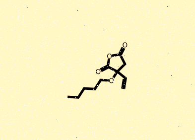 C=CC1(OCCCCC)CC(=O)OC1=O